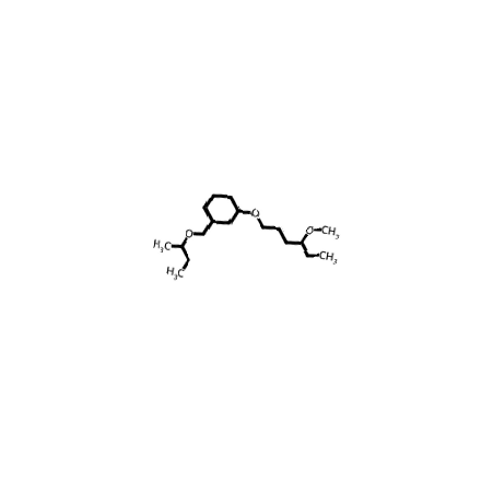 CCC(C)OCC1CCCC(OCCCC(CC)OC)C1